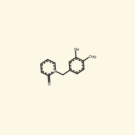 O=Cc1ccc(Cn2ccccc2=O)cc1O